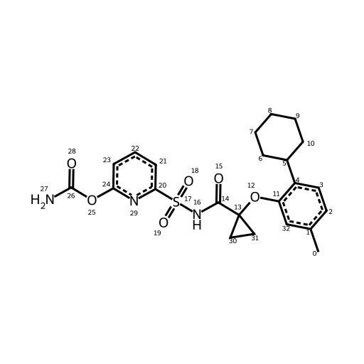 Cc1ccc(C2CCCCC2)c(OC2(C(=O)NS(=O)(=O)c3cccc(OC(N)=O)n3)CC2)c1